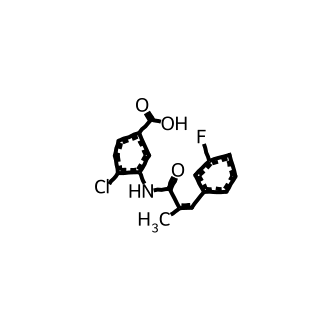 CC(=Cc1cccc(F)c1)C(=O)Nc1cc(C(=O)O)ccc1Cl